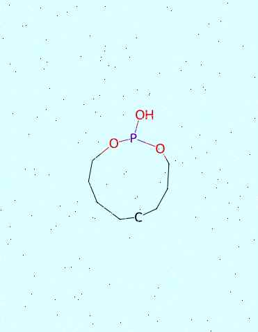 OP1OCCCCCCCCO1